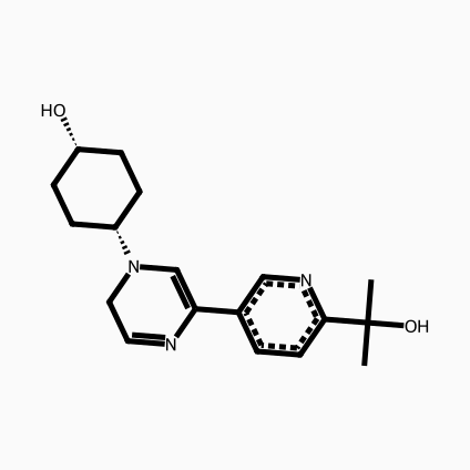 CC(C)(O)c1ccc(C2=CN([C@H]3CC[C@@H](O)CC3)CC=N2)cn1